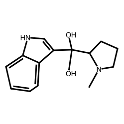 CN1CCCC1C(O)(O)c1c[nH]c2ccccc12